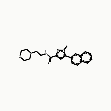 Cn1nc(C(=O)NCCN2CCOCC2)cc1-c1ccc2ccccc2c1